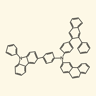 c1ccc(-c2cc3ccccc3cc2-c2ccc(N(c3ccc(-c4ccc5c(c4)c4ccccc4n5-c4ccccc4)cc3)c3ccc4ccc5ccccc5c4c3)cc2)cc1